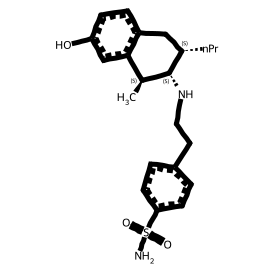 CCC[C@H]1Cc2ccc(O)cc2[C@H](C)[C@H]1NCCc1ccc(S(N)(=O)=O)cc1